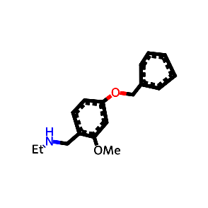 CCNCc1ccc(OCc2ccccc2)cc1OC